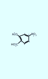 CC(=O)Oc1cc([N+](=O)[O-])ccc1C(=O)O